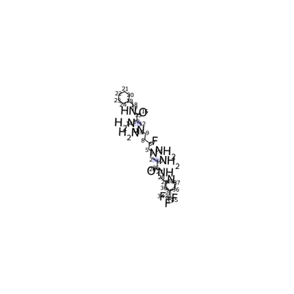 N/C(=C\N(N)CC(F)CCN(N)/C=C(\N)C(=O)NCC1CCCCC1)C(=O)NCc1cc(C(F)(F)F)ccn1